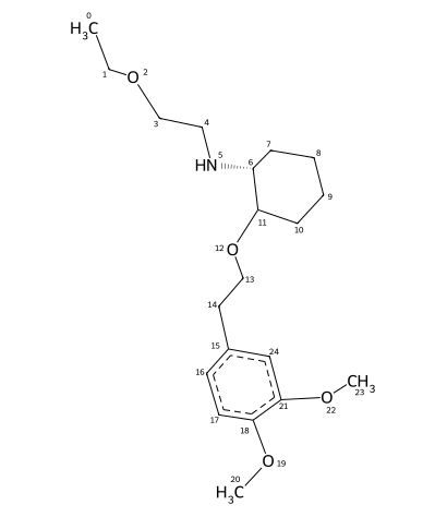 CCOCCN[C@@H]1CCCCC1OCCc1ccc(OC)c(OC)c1